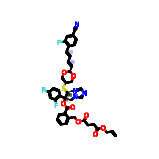 C=CCOC(=O)CCC(=O)OCc1ccccc1C(=O)O[C@@](Cn1cncn1)(c1ccc(F)cc1F)[C@@H](C)S[C@H]1CO[C@H](/C=C/C=C/c2ccc(C#N)cc2F)OC1